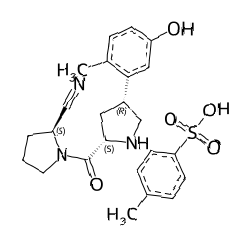 Cc1ccc(O)cc1[C@@H]1CN[C@H](C(=O)N2CCC[C@H]2C#N)C1.Cc1ccc(S(=O)(=O)O)cc1